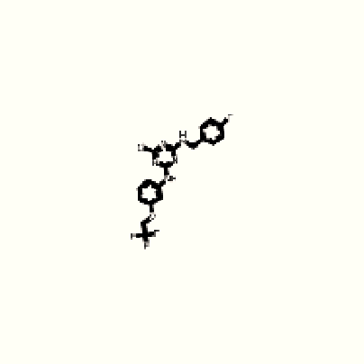 Fc1ccc(CNc2nc(Cl)nc(Nc3cccc(OCC(F)(F)F)c3)n2)cc1